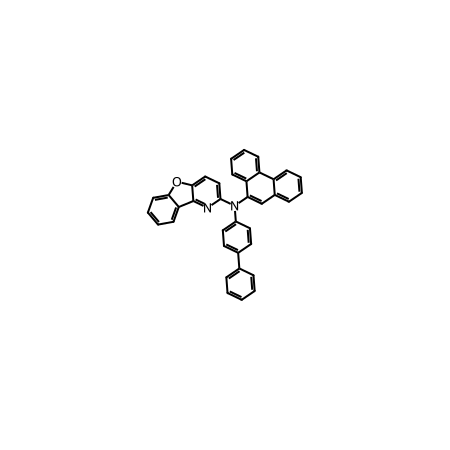 c1ccc(-c2ccc(N(c3ccc4oc5ccccc5c4n3)c3cc4ccccc4c4ccccc34)cc2)cc1